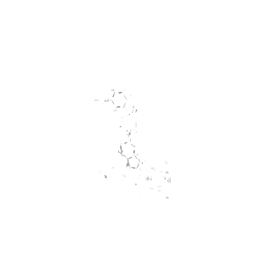 CCCC(c1nc2cc(N3CCC(c4cccc(O)c4)(N(C)C)CC3)cnc2n1CCOC)N1C[C@@H](C)N[C@@H](C)C1